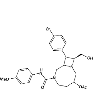 COc1ccc(NC(=O)N2CCC(OC(C)=O)CN3C(C2)C(c2ccc(Br)cc2)[C@H]3CO)cc1